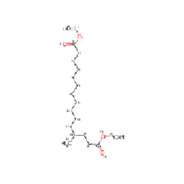 CCCCCCCCOC(=O)CCCCCCCCCCC(C)CCC(=O)OCCCCCCCC